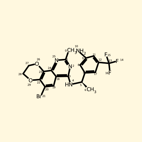 Cc1nc(N[C@H](C)c2cc(N)cc(C(F)(F)F)c2)c2cc(Br)c3c(c2n1)OCCO3